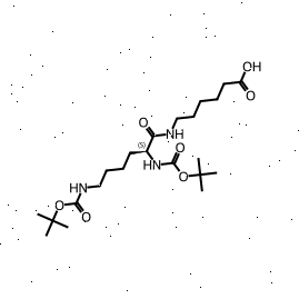 CC(C)(C)OC(=O)NCCCC[C@H](NC(=O)OC(C)(C)C)C(=O)NCCCCCC(=O)O